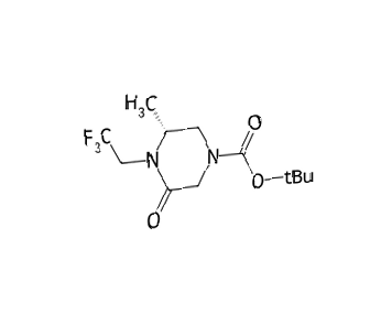 C[C@@H]1CN(C(=O)OC(C)(C)C)CC(=O)N1CC(F)(F)F